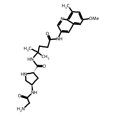 COc1cc(C)c2ncc(NC(=O)CCC(C)(C)NC(=O)[C@@H]3C[C@@H](NC(=O)CN)CN3)cc2c1